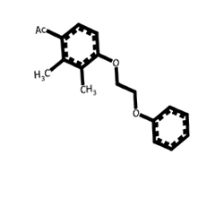 CC(=O)c1ccc(OCCOc2ccccc2)c(C)c1C